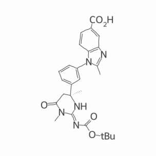 Cc1nc2cc(C(=O)O)ccc2n1-c1cccc([C@]2(C)CC(=O)N(C)/C(=N/C(=O)OC(C)(C)C)N2)c1